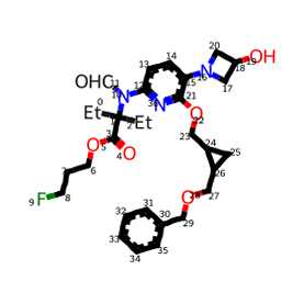 CCC(CC)(C(=O)OCCCF)N(C=O)c1ccc(N2CC(O)C2)c(OCC2CC2COCc2ccccc2)n1